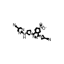 N#Cc1cnc(N[C@@H]2CCN(c3nnc(N4CC(C#N)C4)c4cc([N+](=O)[O-])ccc34)C2)nc1